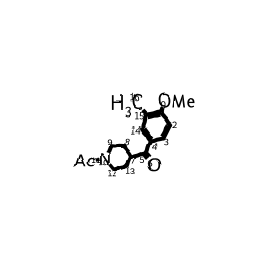 COc1ccc(C(=O)C2CCN(C(C)=O)CC2)cc1C